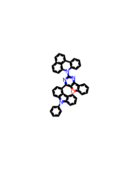 c1ccc(-n2c3ccccc3c3c(-c4nc(N5c6ccccc6-c6cccc7cccc5c67)nc5c4oc4ccccc45)cccc32)cc1